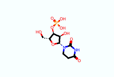 O=C1CCN([C@@H]2O[C@H](CO)[C@@H](OP(=O)(O)O)[C@H]2O)C(=O)N1